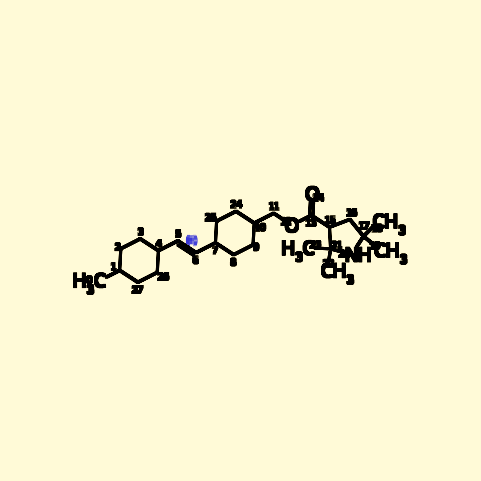 CC1CCC(/C=C/C2CCC(COC(=O)C3CC(C)(C)NC3(C)C)CC2)CC1